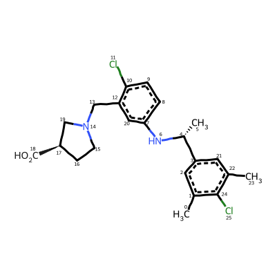 Cc1cc([C@@H](C)Nc2ccc(Cl)c(CN3CC[C@@H](C(=O)O)C3)c2)cc(C)c1Cl